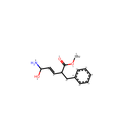 CC(C)(C)OC(=O)C(C=CC(N)O)Cc1ccccc1